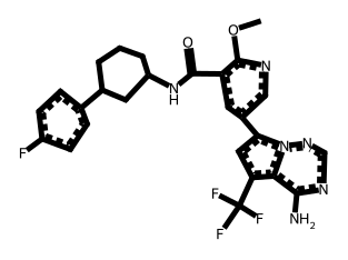 COc1ncc(-c2cc(C(F)(F)F)c3c(N)ncnn23)cc1C(=O)NC1CCCC(c2ccc(F)cc2)C1